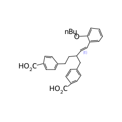 CCCCOc1ccccc1/C=C/C(CCc1ccc(C(=O)O)cc1)Cc1ccc(C(=O)O)cc1